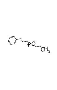 CCCO[P]CCCc1ccccc1